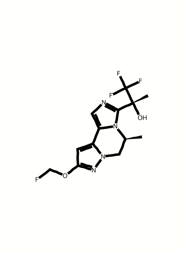 C[C@H]1Cn2nc(OCF)cc2-c2cnc([C@@](C)(O)C(F)(F)F)n21